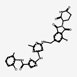 Cc1nc(NCc2cc(F)c3c(c2)C(=O)N(C2CCC(=O)NC2=O)C3=O)cc(Nc2ncc(C(=O)Nc3c(C)cccc3Cl)s2)n1